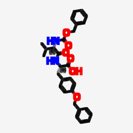 CC(C)[C@H](NC(=O)OCc1ccccc1)C(=O)N[C@@H](Cc1ccc(OCc2ccccc2)cc1)C(=O)O